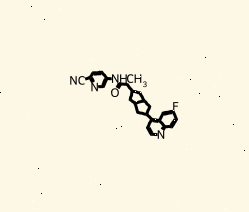 CC(C(=O)Nc1ccc(C#N)nc1)C1CC2CC(c3ccnc4ccc(F)cc34)CC2C1